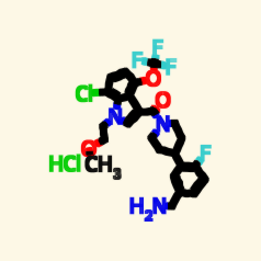 COCCn1cc(C(=O)N2CCC(c3cc(CN)ccc3F)CC2)c2c(OC(F)(F)F)ccc(Cl)c21.Cl